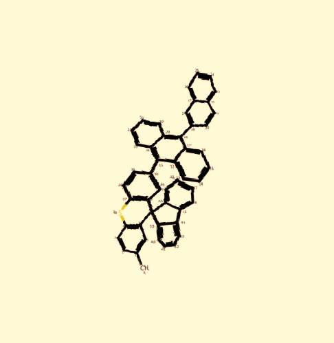 N#Cc1ccc2c(c1)C1(c3cc(-c4c5ccccc5c(-c5ccc6ccccc6c5)c5ccccc45)ccc3S2)c2ccccc2-c2ccccc21